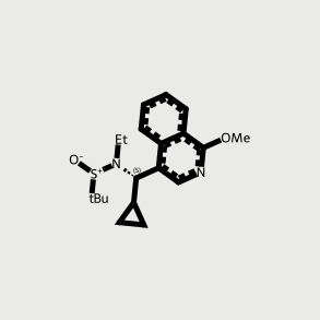 CCN([C@H](c1cnc(OC)c2ccccc12)C1CC1)[S+]([O-])C(C)(C)C